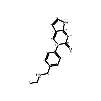 CCNCc1ccc(-n2cc3cc[nH]c3nc2=O)cc1